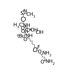 Cc1ncsc1-c1ccc(C(C)NC(=O)[C@@H]2C[C@@H](O)CN2C(=O)C(NC(=O)CCCCCc2cccc(OCC(N)CCC(N)=O)c2F)C(C)(C)C)cc1.Cl